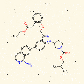 CCOC(=O)Cc1ccccc1OCc1nn(C2CCN(C(=O)OCC(C)C)C2)c2ccc(-c3ccc4ccnc(N)c4c3)cc12